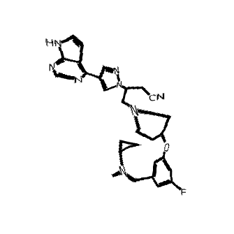 CN(Cc1cc(F)cc(OC2CCN(CC(CC#N)n3cc(-c4ncnc5[nH]ccc45)cn3)CC2)c1)C1CC1